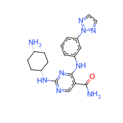 NC(=O)c1cnc(N[C@H]2CC[C@@H](N)CC2)nc1Nc1cccc(-n2nccn2)c1